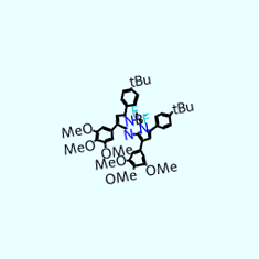 COc1cc(C2=CC(c3ccc(C(C)(C)C)cc3)=[N+]3C2=Nc2c(-c4cc(OC)c(OC)c(OC)c4)cc(-c4ccc(C(C)(C)C)cc4)n2[B-]3(F)F)cc(OC)c1OC